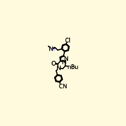 CCCCC1CN(Cc2ccc(C#N)cc2)C(=O)c2cc(-c3ccc(Cl)cc3C/C=N/C)nn21